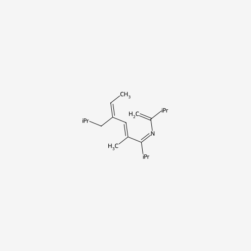 C=C(\N=C(/C(C)=C/C(=C\C)CC(C)C)C(C)C)C(C)C